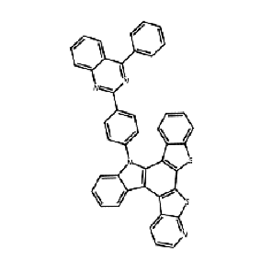 c1ccc(-c2nc(-c3ccc(-n4c5ccccc5c5c6c7cccnc7sc6c6sc7ccccc7c6c54)cc3)nc3ccccc23)cc1